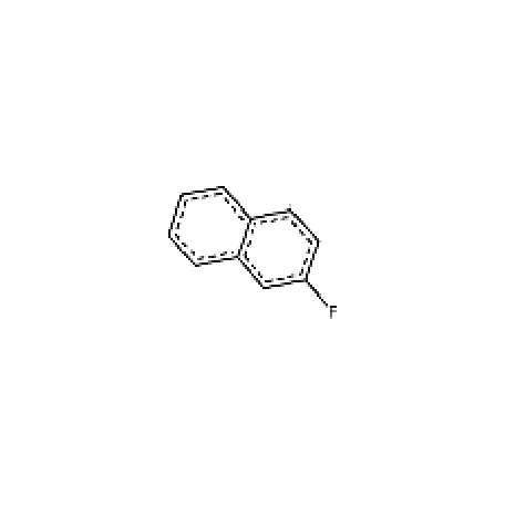 Fc1c[c]c2ccccc2c1